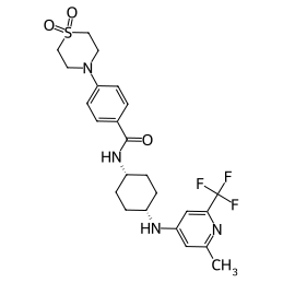 Cc1cc(N[C@H]2CC[C@@H](NC(=O)c3ccc(N4CCS(=O)(=O)CC4)cc3)CC2)cc(C(F)(F)F)n1